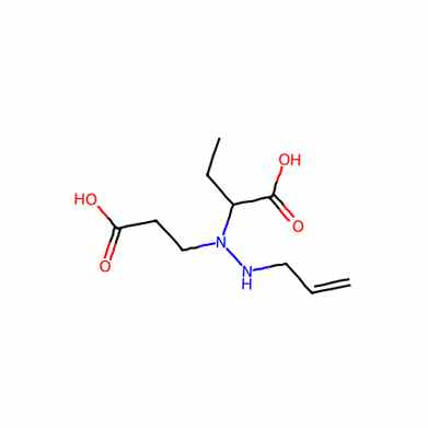 C=CCNN(CCC(=O)O)C(CC)C(=O)O